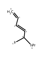 C=CC=C[CH]([Ir])CCC